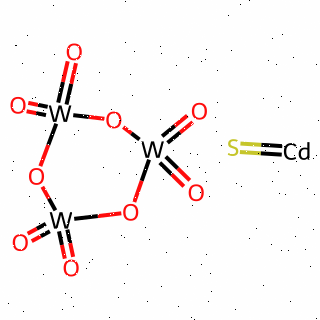 [O]=[W]1(=[O])[O][W](=[O])(=[O])[O][W](=[O])(=[O])[O]1.[S]=[Cd]